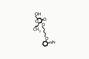 C/C=C/c1oc(CO)cc(=O)c1OCCCCCOc1ccccc1CCC